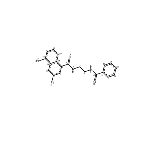 CCc1cc(C(=O)NCCNC(=O)c2ccncc2)c2nccc(C(C)C)c2c1